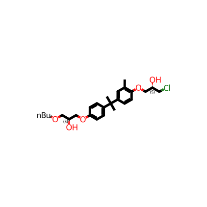 CCCCOC[C@H](O)COc1ccc(C(C)(C)c2ccc(OC[C@H](O)CCl)c(C)c2)cc1